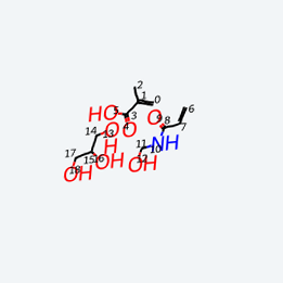 C=C(C)C(=O)O.C=CC(=O)NCO.OCC(O)CO